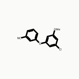 COc1cc(Cl)cc(Oc2cccc(C#N)c2)c1